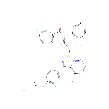 CC(C)Oc1ccc(C2=NC([C@@H](C)c3oc4ccc(F)cc4c(=O)c3-c3cccc(F)c3)c3ncnc(N)c32)cc1F